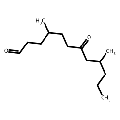 CCCC(C)CC(=O)CCC(C)CCC=O